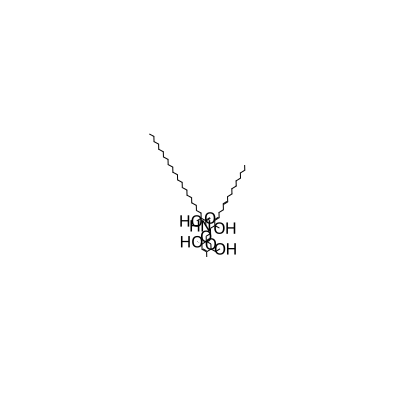 CCCCCCCCC/C=C/CC/C=C/C(O)C(COC1OC(CO)C(C)=C[C@@H]1O)NC(=O)C(O)CCCCCCCCCCCCCCCCCCCCCC